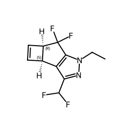 CCn1nc(C(F)F)c2c1C(F)(F)[C@@H]1C=C[C@H]21